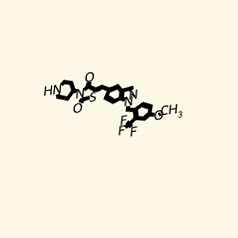 COc1ccc(Cn2ncc3cc(/C=C4\SC(=O)N(C5CCNCC5)C4=O)ccc32)c(C(F)(F)F)c1